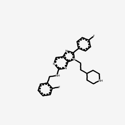 Fc1ccc(-c2nc3cnc(NCc4ccccc4F)nc3n2CCC2CCNCC2)cc1